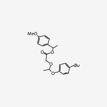 CCC(C)c1ccc(OC(C)OCC(=O)OC(C)c2ccc(OC)cc2)cc1